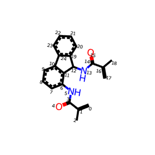 C=C(C)C(=O)Nc1cccc2c1C(NC(=O)C(=C)C)c1ccccc1-2